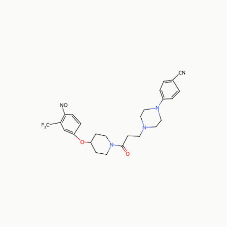 N#Cc1ccc(N2CCN(CCC(=O)N3CCC(Oc4ccc(N=O)c(C(F)(F)F)c4)CC3)CC2)cc1